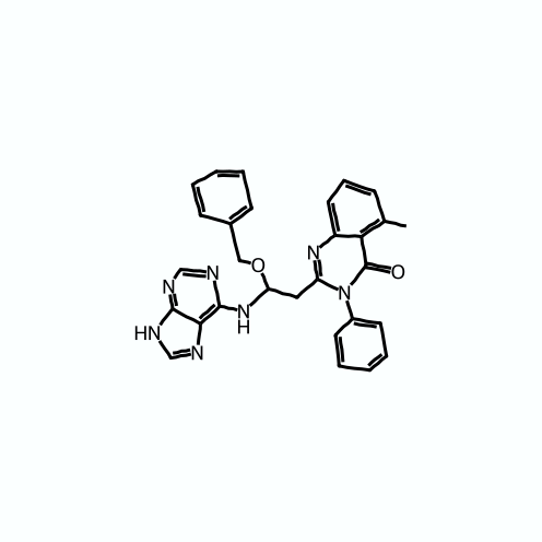 Cc1cccc2nc(CC(Nc3ncnc4[nH]cnc34)OCc3ccccc3)n(-c3ccccc3)c(=O)c12